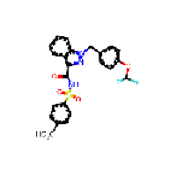 O=C(O)c1ccc(S(=O)(=O)NC(=O)c2nn(Cc3ccc(OC(F)F)cc3)c3ccccc23)cc1